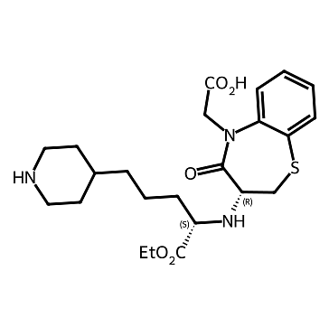 CCOC(=O)[C@H](CCCC1CCNCC1)N[C@H]1CSc2ccccc2N(CC(=O)O)C1=O